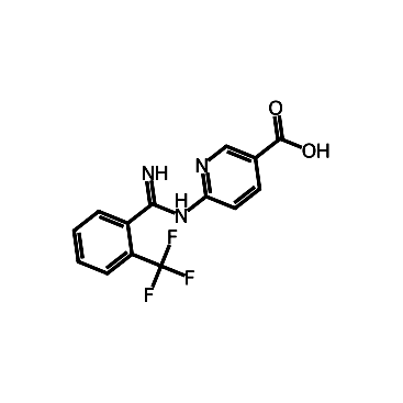 N=C(Nc1ccc(C(=O)O)cn1)c1ccccc1C(F)(F)F